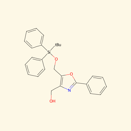 CC(C)(C)[Si](OCc1oc(-c2ccccc2)nc1CO)(c1ccccc1)c1ccccc1